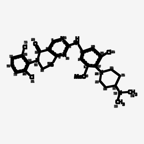 COc1cc(Nc2ncc3c(n2)SCN(c2c(Cl)cccc2Cl)C3=O)cc(Cl)c1N1CCC(N(C)C)CC1